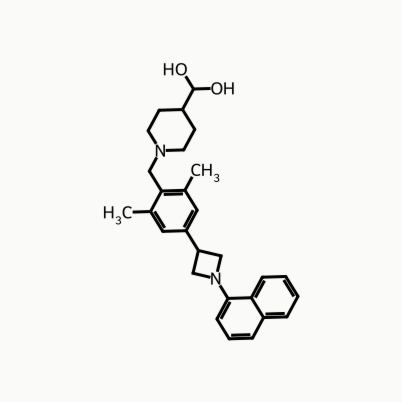 Cc1cc(C2CN(c3cccc4ccccc34)C2)cc(C)c1CN1CCC(C(O)O)CC1